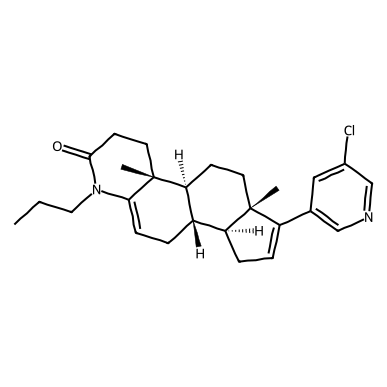 CCCN1C(=O)CC[C@@]2(C)C1=CC[C@@H]1[C@@H]2CC[C@]2(C)C(c3cncc(Cl)c3)=CC[C@@H]12